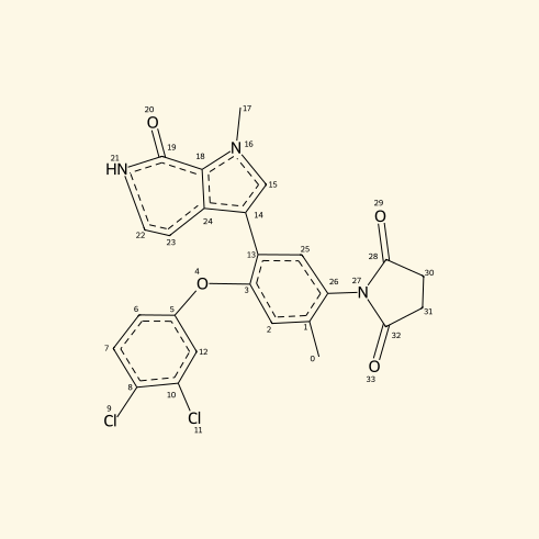 Cc1cc(Oc2ccc(Cl)c(Cl)c2)c(-c2cn(C)c3c(=O)[nH]ccc23)cc1N1C(=O)CCC1=O